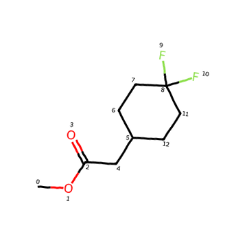 COC(=O)CC1CCC(F)(F)CC1